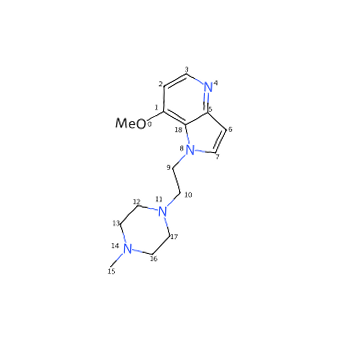 COc1ccnc2ccn(CCN3CCN(C)CC3)c12